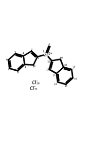 [CH2]=[Zr+2]([C]1=Cc2ccccc2C1)[C]1=Cc2ccccc2C1.[Cl-].[Cl-]